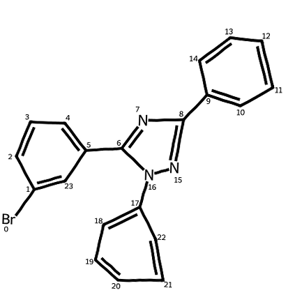 Brc1cccc(-c2nc(-c3ccccc3)nn2-c2ccccc2)c1